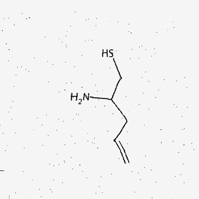 C=CCC(N)CS